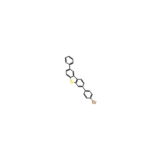 Brc1ccc(-c2ccc3c(c2)sc2ccc(-c4ccccc4)cc23)cc1